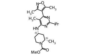 COC(=O)N1CC[C@H](Nc2nc(C(C)C)nc(-c3c(C)noc3C)c2C)C[C@@H]1C